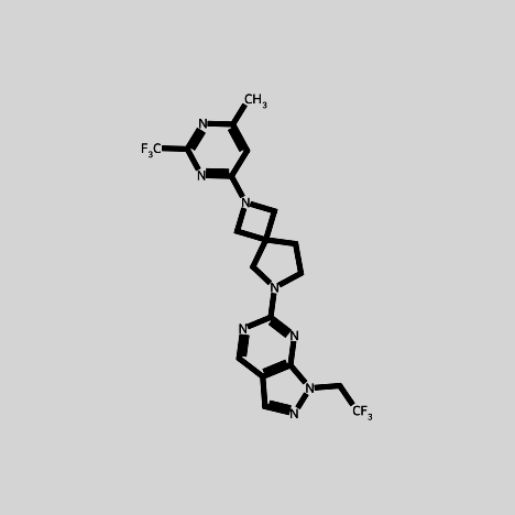 Cc1cc(N2CC3(CCN(c4ncc5cnn(CC(F)(F)F)c5n4)C3)C2)nc(C(F)(F)F)n1